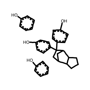 Oc1ccc(C2(c3ccc(O)cc3)CC3CC2C2CCCC32)cc1.Oc1ccccc1.Oc1ccccc1